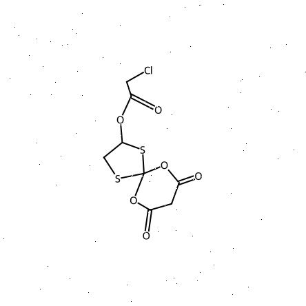 O=C(CCl)OC1CSC2(OC(=O)CC(=O)O2)S1